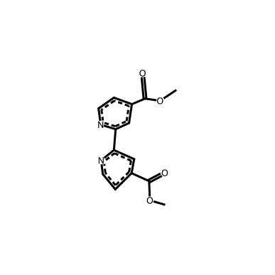 COC(=O)c1ccnc(-c2cc(C(=O)OC)ccn2)c1